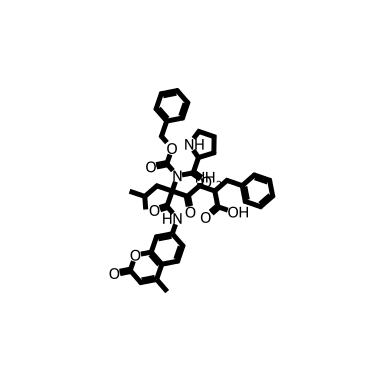 Cc1cc(=O)oc2cc(NC(=O)C(CC(C)C)(C(=O)C(N)C(Cc3ccccc3)C(=O)O)N(C(=O)OCc3ccccc3)C(=O)C3CCCN3)ccc12